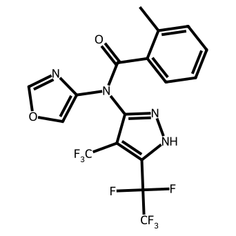 Cc1ccccc1C(=O)N(c1cocn1)c1n[nH]c(C(F)(F)C(F)(F)F)c1C(F)(F)F